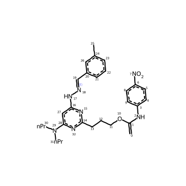 C=C(Nc1ccc([N+](=O)[O-])cc1)OCCCc1nc(N/N=C/c2cccc(C)c2)cc(N(CCC)CCC)n1